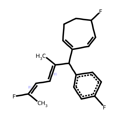 C/C(F)=C\C=C(/C)C(C1=CCCC(F)C=C1)c1ccc(F)cc1